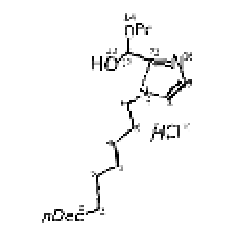 CCCCCCCCCCCCCCCCn1ccnc1C(O)CCC.Cl